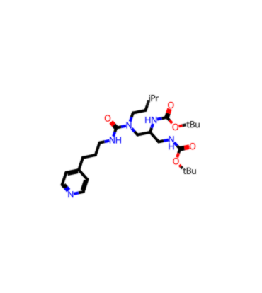 CC(C)CCN(CC(CNC(=O)OC(C)(C)C)NC(=O)OC(C)(C)C)C(=O)NCCCc1ccncc1